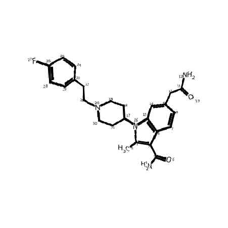 Cc1c(C(N)=O)c2ccc(CC(N)=O)cc2n1C1CCN(CCc2ccc(F)cc2)CC1